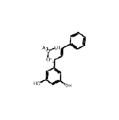 COC.Oc1cc(O)cc(C/C=C/c2ccccc2)c1.[Ag]